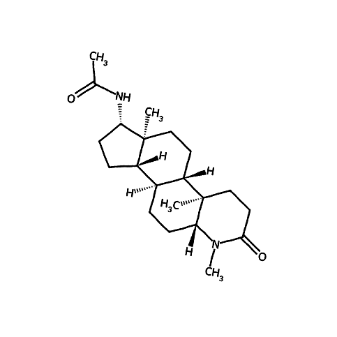 CC(=O)N[C@H]1CC[C@H]2[C@@H]3CC[C@H]4N(C)C(=O)CC[C@]4(C)[C@H]3CC[C@]12C